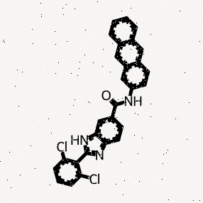 O=C(Nc1ccc2cc3ccccc3cc2c1)c1ccc2nc(-c3c(Cl)cccc3Cl)[nH]c2c1